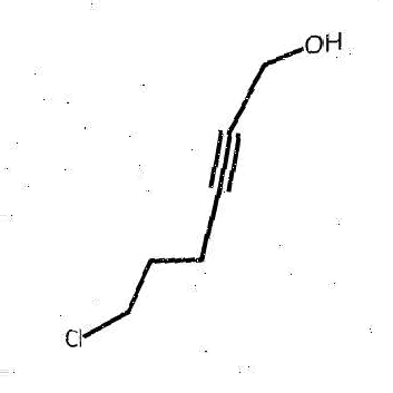 OCC#CCCCCl